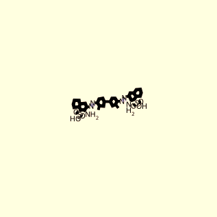 Cc1cc(-c2ccc(/N=N/c3cc4ccccc4c(S(=O)(=O)O)c3N)c(C)c2)ccc1/N=N/c1cc2ccccc2c(S(=O)(=O)O)c1N